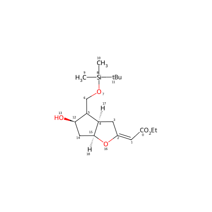 CCOC(=O)/C=C1\C[C@@H]2C(CO[Si](C)(C)C(C)(C)C)[C@H](O)C[C@@H]2O1